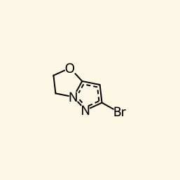 Brc1cc2n(n1)CCO2